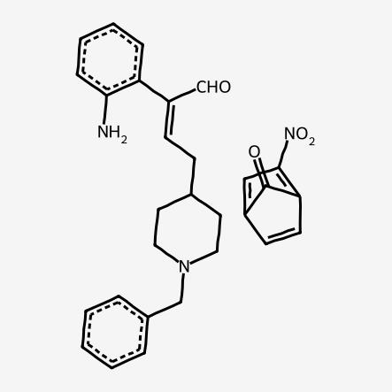 Nc1ccccc1C(C=O)=CCC1CCN(Cc2ccccc2)CC1.O=C1C2=CC([N+](=O)[O-])=C1C=C2